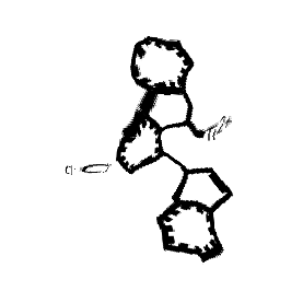 [Cl-].[Cl-].[Ti+2][CH]1c2ccccc2-c2cccc(C3C=Cc4ccccc43)c21